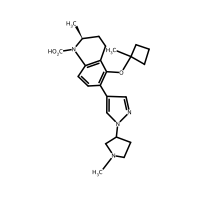 C[C@H]1CCc2c(ccc(-c3cnn(C4CCN(C)C4)c3)c2OC2(C)CCC2)N1C(=O)O